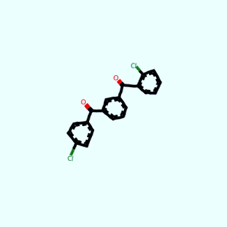 O=C(c1ccc(Cl)cc1)c1cccc(C(=O)c2ccccc2Cl)c1